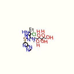 CCc1[nH]c2nc(Sc3cnc4nccnc4c3)nc(N(C)CC(O)C(O)C(O)C(O)CO)c2c1Cl